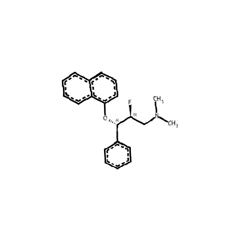 CN(C)C[C@H](F)[C@@H](Oc1cccc2ccccc12)c1ccccc1